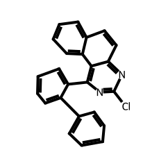 Clc1nc(-c2ccccc2-c2ccccc2)c2c(ccc3ccccc32)n1